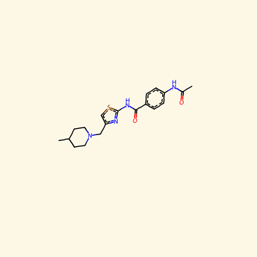 CC(=O)Nc1ccc(C(=O)Nc2nc(CN3CCC(C)CC3)cs2)cc1